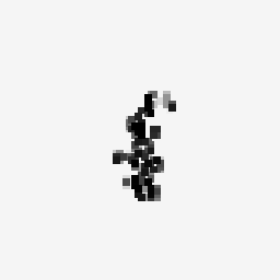 CSCC1CCN(c2cc3c(cc2F)c(=O)c(OC(=O)O)cn3C2CC2)C1